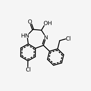 O=C1Nc2ccc(Cl)cc2C(c2ccccc2CCl)=NC1O